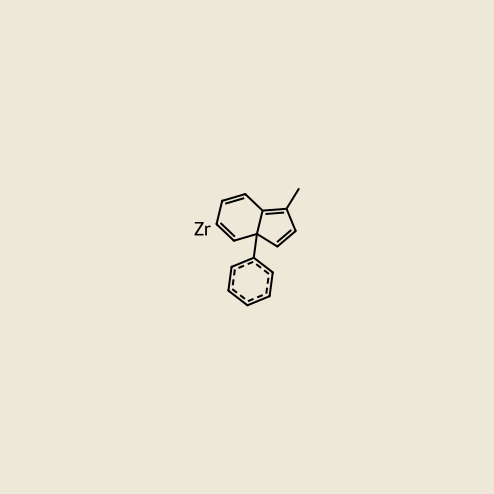 CC1=C2C=CC=CC2(c2ccccc2)C=C1.[Zr]